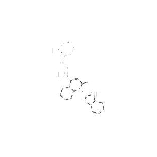 O=c1cc(NCCC2CCCCN2)c2ccccc2n1-c1nc2ccccc2[nH]1